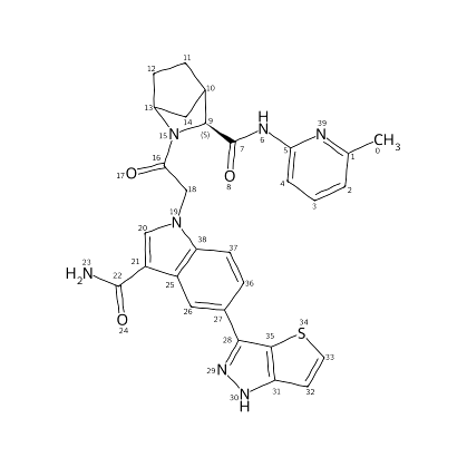 Cc1cccc(NC(=O)[C@@H]2C3CCC(C3)N2C(=O)Cn2cc(C(N)=O)c3cc(-c4n[nH]c5ccsc45)ccc32)n1